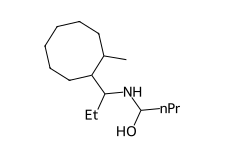 CCCC(O)NC(CC)C1CCCCCCC1C